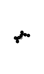 c1ccc(-c2ccc(-n3c4ccccc4c4cc5c(cc43)oc3cc4c(cc35)c3ccccc3n4-c3ccccc3)cc2)cc1